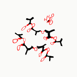 C=C(C)C(=O)OC(=O)C(C)=COC=C(C)C(=O)OC(=O)C(=C)C.C=C(C)C(=O)OC(=O)C(C)=COC=C(C)C(=O)OC(=O)C(=C)C.C=O.O.O